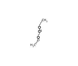 CCCCCCc1ccc(-c2ccc(CCc3ccc(OCCCCC)cc3)cn2)cc1